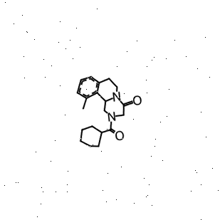 Cc1cccc2c1C1CN(C(=O)C3CCCCC3)CC(=O)N1CC2